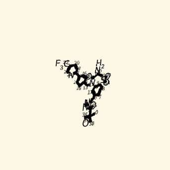 CC1(c2nnc(-c3ccc4c(c3)N(Cc3ccc(-c5ccc(C(F)(F)F)cn5)cc3)C(=O)[C@@H](N)CS4(=O)=O)o2)COC1